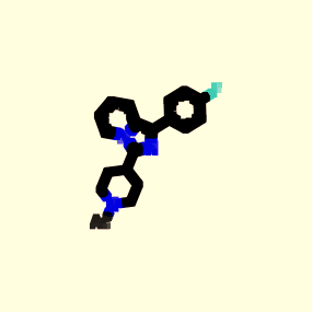 CC(=O)N1CCC(c2nc(-c3ccc(F)cc3)c3ccccn23)CC1